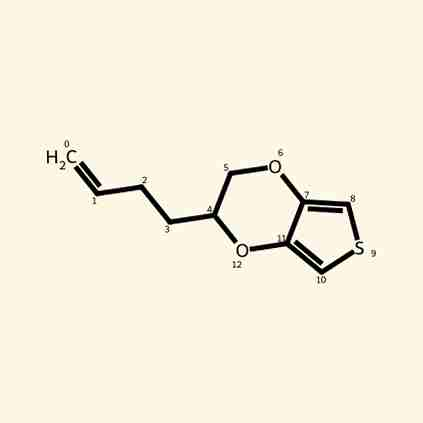 C=CCCC1COc2cscc2O1